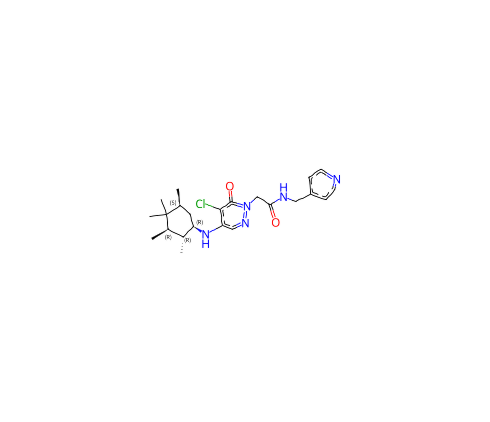 C[C@@H]1[C@@H](C)C(C)(C)[C@@H](C)C[C@H]1Nc1cnn(CC(=O)NCc2ccncc2)c(=O)c1Cl